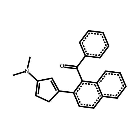 CN(C)C1=CCC(c2ccc3ccccc3c2C(=O)c2ccccc2)=C1